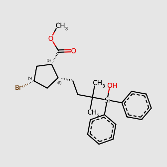 COC(=O)[C@H]1C[C@@H](Br)C[C@H]1CCC(C)(C)[Si](O)(c1ccccc1)c1ccccc1